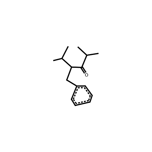 CC(C)C(=O)C(Cc1ccccc1)C(C)C